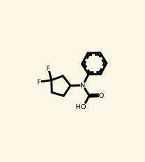 O=C(O)N(c1ccccc1)C1CCC(F)(F)C1